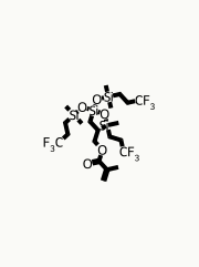 C=C(C)C(=O)OCCC[Si](O[Si](C)(C)CCC(F)(F)F)(O[Si](C)(C)CCC(F)(F)F)O[Si](C)(C)CCC(F)(F)F